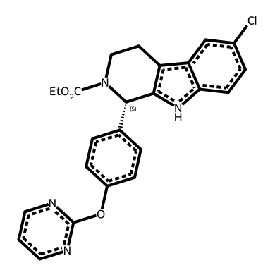 CCOC(=O)N1CCc2c([nH]c3ccc(Cl)cc23)[C@@H]1c1ccc(Oc2ncccn2)cc1